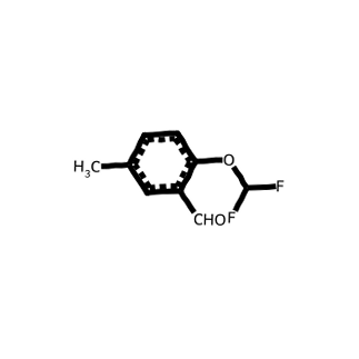 Cc1ccc(OC(F)F)c(C=O)c1